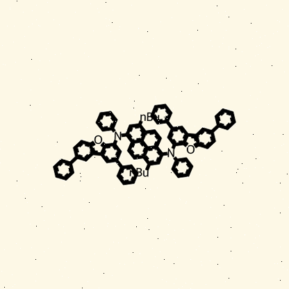 CCCCc1cc(N(c2ccccc2)c2cc(-c3ccccc3)cc3c2oc2ccc(-c4ccccc4)cc23)c2ccc3c(CCCC)cc(N(c4ccccc4)c4cc(-c5ccccc5)cc5c4oc4ccc(-c6ccccc6)cc45)c4ccc1c2c34